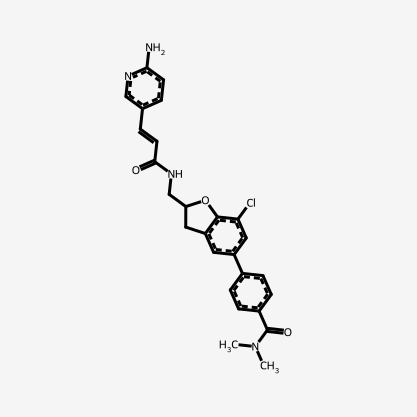 CN(C)C(=O)c1ccc(-c2cc(Cl)c3c(c2)CC(CNC(=O)/C=C/c2ccc(N)nc2)O3)cc1